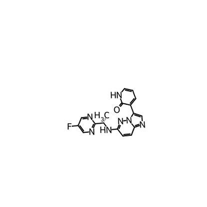 C[C@H](Nc1ccc2ncc(-c3ccc[nH]c3=O)n2n1)c1ncc(F)cn1